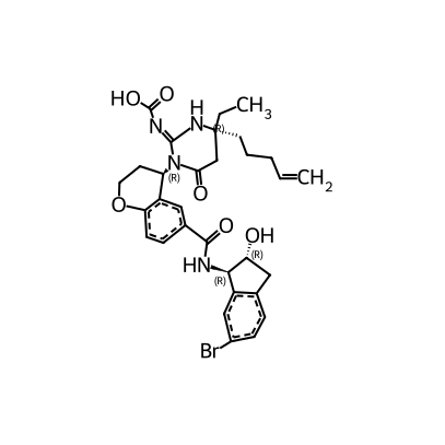 C=CCCC[C@]1(CC)CC(=O)N([C@@H]2CCOc3ccc(C(=O)N[C@@H]4c5cc(Br)ccc5C[C@H]4O)cc32)C(=NC(=O)O)N1